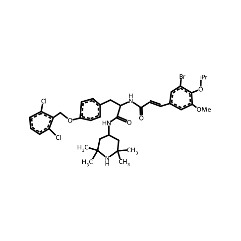 COc1cc(/C=C/C(=O)NC(Cc2ccc(OCc3c(Cl)cccc3Cl)cc2)C(=O)NC2CC(C)(C)NC(C)(C)C2)cc(Br)c1OC(C)C